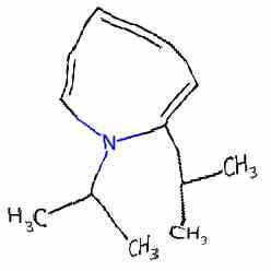 CC(C)C1=CC=CC=CN1C(C)C